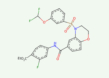 CCOC(=O)c1ccc(NC(=O)c2ccc3c(c2)N(S(=O)(=O)c2cccc(OC(F)F)c2)CCO3)cc1F